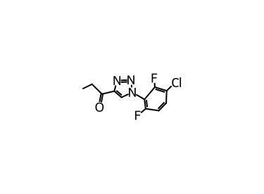 CCC(=O)c1cn(-c2c(F)ccc(Cl)c2F)nn1